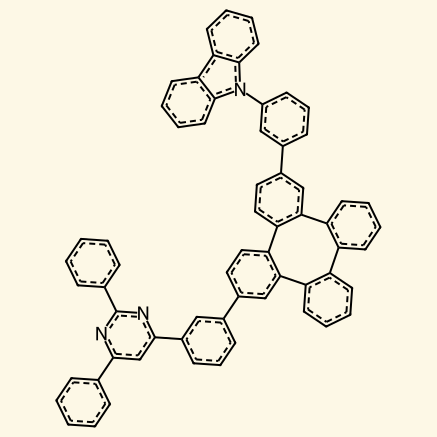 c1ccc(-c2cc(-c3cccc(-c4ccc5c(c4)-c4ccccc4-c4ccccc4-c4cc(-c6cccc(-n7c8ccccc8c8ccccc87)c6)ccc4-5)c3)nc(-c3ccccc3)n2)cc1